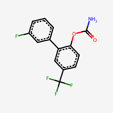 NC(=O)Oc1ccc(C(F)(F)F)cc1-c1cccc(F)c1